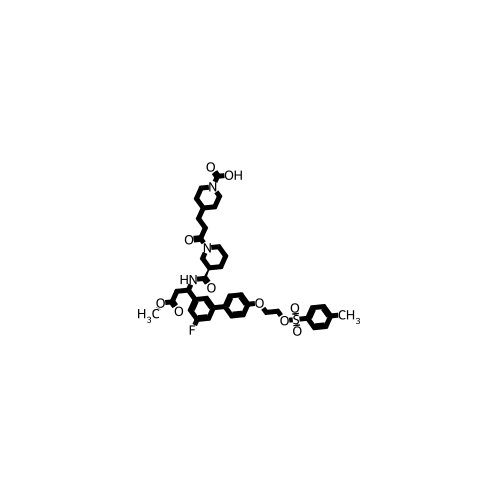 COC(=O)CC(NC(=O)[C@@H]1CCCN(C(=O)CCC2CCN(C(=O)O)CC2)C1)c1cc(F)cc(-c2ccc(OCCOS(=O)(=O)c3ccc(C)cc3)cc2)c1